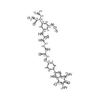 CCCn1c(=O)c2[nH]c(-c3ccc(OCC(=O)NCCNC(=S)Nc4cc(N=C=S)cc(C(CN(C)C)C(N)=O)c4)cc3)nc2n(CCC)c1=O